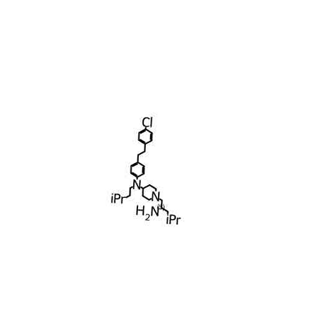 CC(C)CCN(c1ccc(CCc2ccc(Cl)cc2)cc1)C1CCN(C[C@@H](N)CC(C)C)CC1